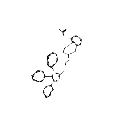 CC(=O)Oc1cccc2c1CCC(CCSc1nc(-c3ccccc3)c(-c3ccccc3)n1-c1ccccc1)C2